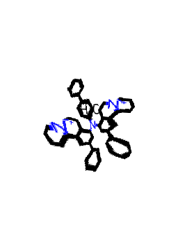 C=C1C[n+]2ccccc2-c2cc(-c3ccccc3)cc(N(c3ccc(-c4ccccc4)cc3)c3cc(-c4ccccc4)cc4c3CC[n+]3ccccc3-4)c21